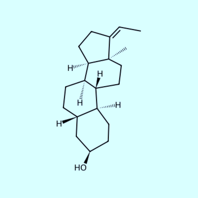 C/C=C1/CC[C@@H]2[C@@H]3CC[C@H]4C[C@H](O)CC[C@@H]4[C@H]3CC[C@]12C